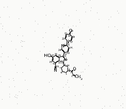 C=CC(=O)N1CCC[C@@H](n2nc(-c3ccc(-n4ccc(=O)cc4)nc3)c3cc(O)cc(C#N)c32)C1